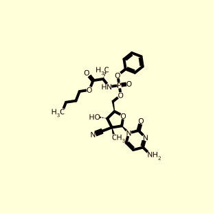 CCCCOC(=O)[C@H](C)NP(=O)(OC[C@H]1O[C@@H](n2ccc(N)nc2=O)[C@](C)(C#N)[C@@H]1O)Oc1ccccc1